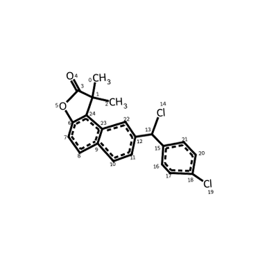 CC1(C)C(=O)Oc2ccc3ccc(C(Cl)c4ccc(Cl)cc4)cc3c21